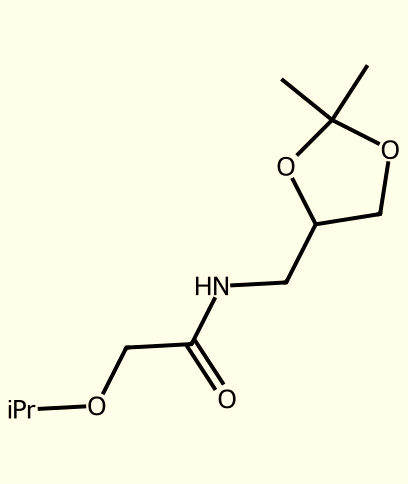 CC(C)OCC(=O)NCC1COC(C)(C)O1